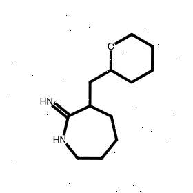 N=C1NCCCCC1CC1CCCCO1